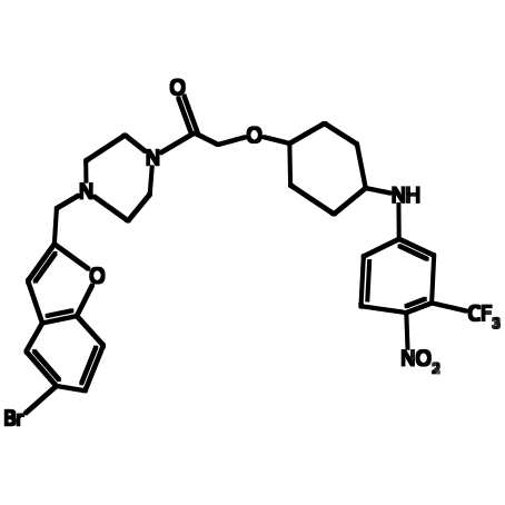 O=C(COC1CCC(Nc2ccc([N+](=O)[O-])c(C(F)(F)F)c2)CC1)N1CCN(Cc2cc3cc(Br)ccc3o2)CC1